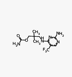 CC(C)(CNc1nc(N)ncc1C(F)(F)F)COC(N)=O